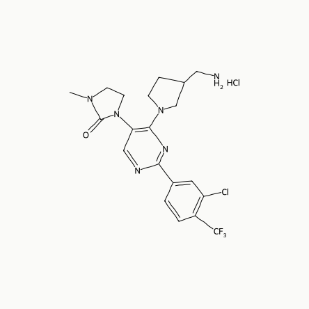 CN1CCN(c2cnc(-c3ccc(C(F)(F)F)c(Cl)c3)nc2N2CCC(CN)C2)C1=O.Cl